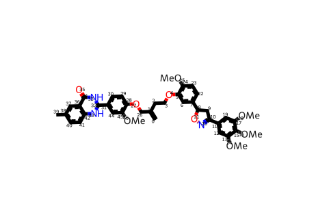 C=C(CCOc1cc(C2CC(c3cc(OC)c(OC)c(OC)c3)=NO2)ccc1OC)COc1ccc(C2NC(=O)c3cc(C)ccc3N2)cc1OC